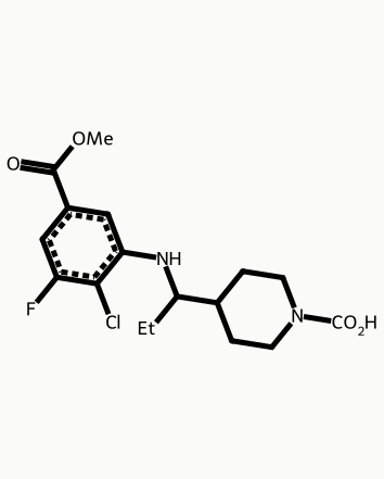 CCC(Nc1cc(C(=O)OC)cc(F)c1Cl)C1CCN(C(=O)O)CC1